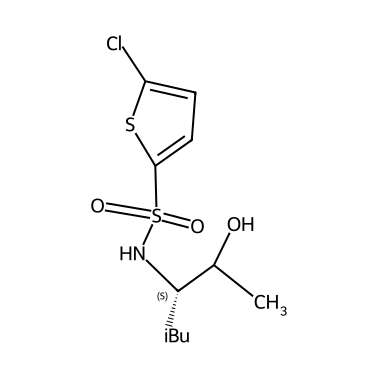 CCC(C)[C@H](NS(=O)(=O)c1ccc(Cl)s1)C(C)O